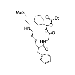 CCC(=O)OC(OC(=O)CNC(=O)C(CSSCNCCCSC)Cc1ccccc1)C1CCCCC1